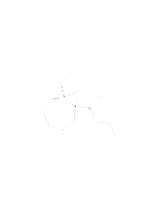 CCOC(=O)C12CCCCCC1(CC)O2